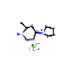 CC1CC(N2CCCC2)CCN1.Cl.Cl